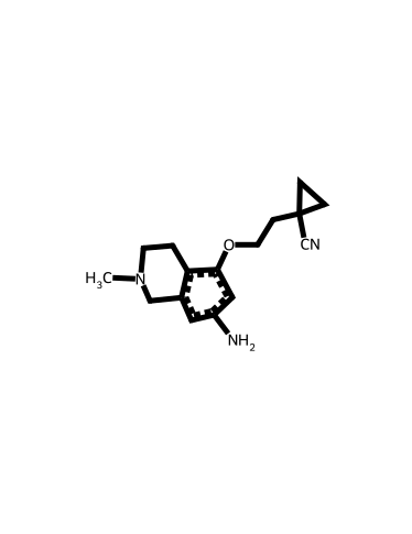 CN1CCc2c(cc(N)cc2OCCC2(C#N)CC2)C1